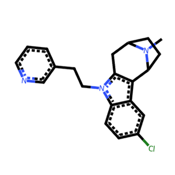 CN1C2CCC1c1c(n(CCc3cccnc3)c3ccc(Cl)cc13)C2